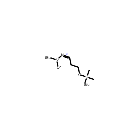 CC(C)(C)[S+]([O-])/N=C\CCO[Si](C)(C)C(C)(C)C